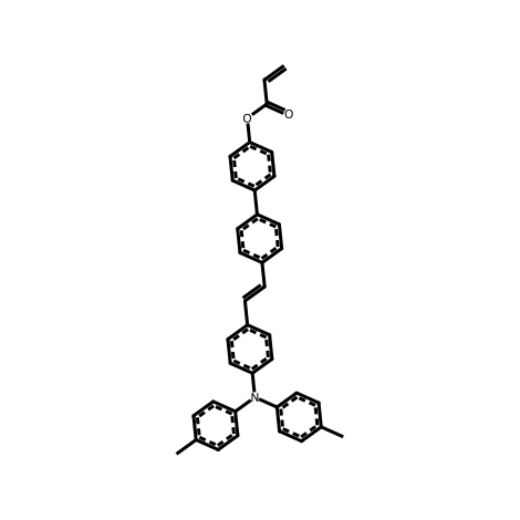 C=CC(=O)Oc1ccc(-c2ccc(/C=C/c3ccc(N(c4ccc(C)cc4)c4ccc(C)cc4)cc3)cc2)cc1